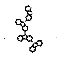 c1cnc2sc3ccc(-n4c5ccccc5c5cc(-n6c7ccccc7c7cc(-n8c9ccccc9c9ccccc98)ccc76)ccc54)cc3c2c1